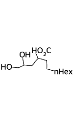 CCCCCCCCC(CC(O)CO)C(=O)O